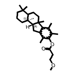 COCCC(=O)Oc1c(C)c(C)c2c(c1C)C[C@H]1C2(C)CCC2C(C)(C)CCC[C@@]21C